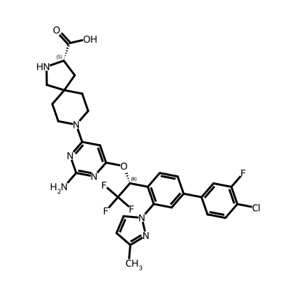 Cc1ccn(-c2cc(-c3ccc(Cl)c(F)c3)ccc2[C@@H](Oc2cc(N3CCC4(CC3)CN[C@H](C(=O)O)C4)nc(N)n2)C(F)(F)F)n1